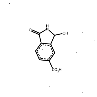 O=C(O)c1ccc2c(c1)C(O)NC2=O